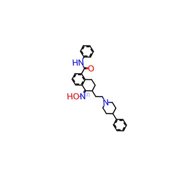 O=C(Nc1ccccc1)c1cccc2c1CCC(CCN1CCC(c3ccccc3)CC1)/C2=N/O